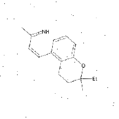 CCC1(C)CCc2c(/C=C\C(C)=N)cccc2O1